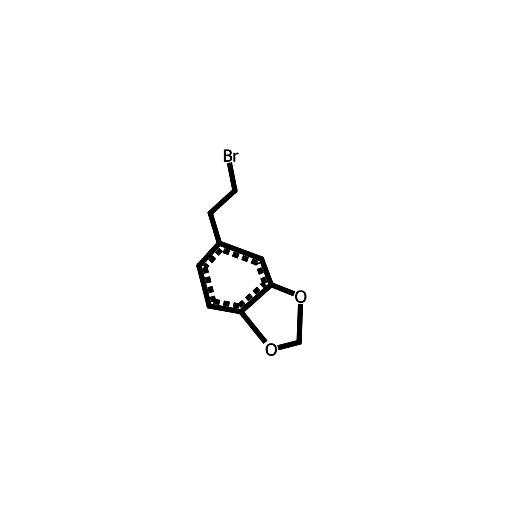 BrCCc1ccc2c(c1)OCO2